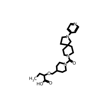 CCC(OCC1CCN(C(=O)N2CCC3(CC2)CCN(c2ccncc2)C3)CC1)C(=O)O